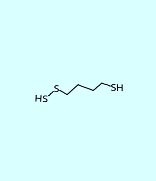 SCCCCSS